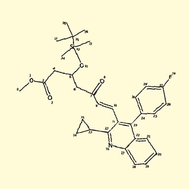 COC(=O)CC(CC(=O)/C=C/c1c(C2CC2)nc2ccccc2c1-c1ccc(F)cc1)O[Si](C)(C)C(C)(C)C